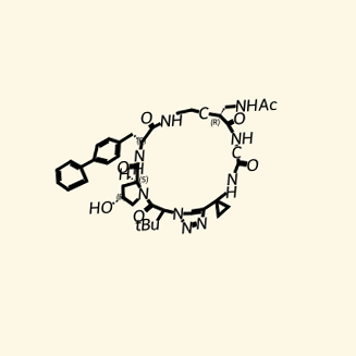 CC(=O)NC[C@H]1CCCNC(=O)[C@@H](Cc2ccc(-c3ccccc3)cc2)NC(=O)[C@@H]2C[C@@H](O)CN2C(=O)C(C(C)(C)C)n2cc(nn2)C2(CC2)CNC(=O)CNC1=O